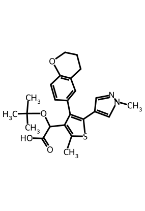 Cc1sc(-c2cnn(C)c2)c(-c2ccc3c(c2)CCCO3)c1C(OC(C)(C)C)C(=O)O